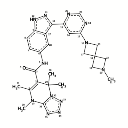 CC1=C(C(=O)Nc2ccc3[nH]nc(-c4cc(N5CC6(CN(C)C6)C5)ncn4)c3c2)C(C)(C)n2nnnc2N1C